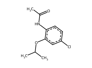 CC(=O)Nc1ccc(Cl)cc1OC(C)C